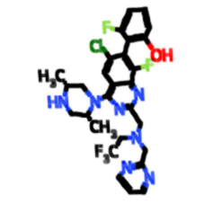 C[C@@H]1CN(c2nc(CN(Cc3ncccn3)CC(F)(F)F)nc3c(F)c(-c4c(O)cccc4F)c(Cl)cc23)[C@@H](C)CN1